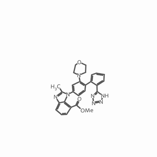 COC(=O)c1cccc2nc(C)n(-c3ccc(-c4ccccc4-c4nnn[nH]4)c(N4CCOCC4)c3)c12